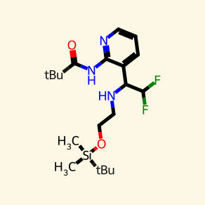 CC(C)(C)C(=O)Nc1ncccc1C(NCCO[Si](C)(C)C(C)(C)C)C(F)F